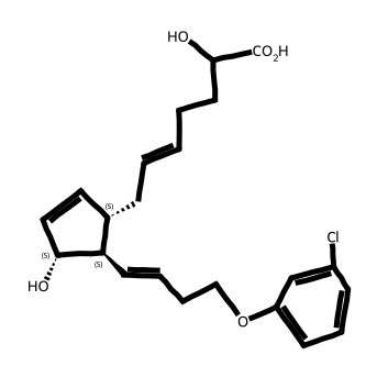 O=C(O)C(O)CCC=CC[C@H]1C=C[C@@H](O)[C@@H]1C=CCCOc1cccc(Cl)c1